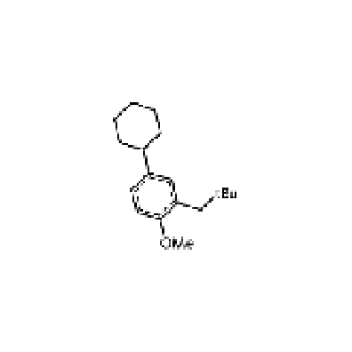 COc1ccc(C2CCCCC2)cc1CC(C)(C)C